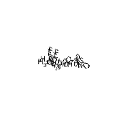 CC(CCCC(O[Si](C)(C)C)(C(F)F)C(F)F)[C@H]1CC[C@H]2C(=CCS(=O)(=O)c3nc4ccccc4s3)CCC[C@]12C